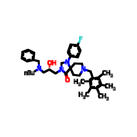 CCCCN(Cc1ccccc1)C[C@H](O)CN1CN(c2ccc(F)cc2)C2(CCN(Cc3c(C)c(C)c(C)c(C)c3C)CC2)C1=O